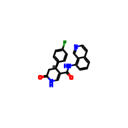 O=C1C[C@@H](c2ccc(F)cc2)C(C(=O)Nc2cccc3ccncc23)=CN1